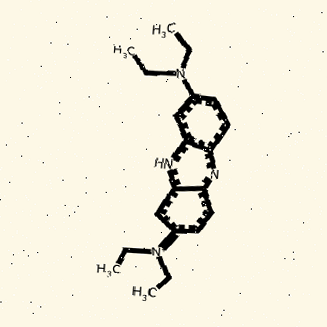 CCN(CC)c1ccc2nc3ccc(=[N+](CC)CC)cc-3[nH]c2c1